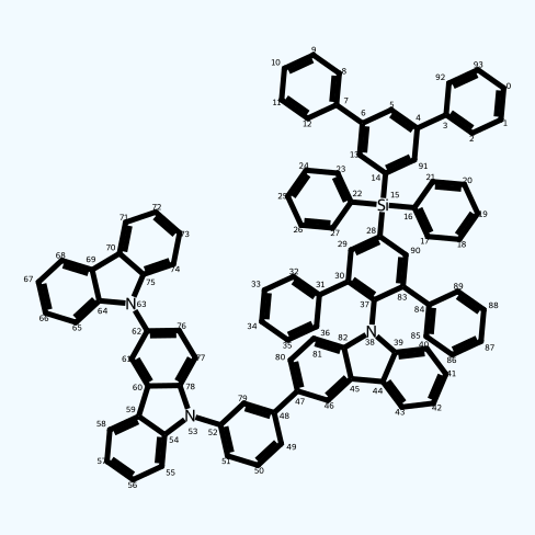 c1ccc(-c2cc(-c3ccccc3)cc([Si](c3ccccc3)(c3ccccc3)c3cc(-c4ccccc4)c(-n4c5ccccc5c5cc(-c6cccc(-n7c8ccccc8c8cc(-n9c%10ccccc%10c%10ccccc%109)ccc87)c6)ccc54)c(-c4ccccc4)c3)c2)cc1